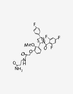 COc1c(OCC(=O)NCCC(N)=O)cccc1C1SC(c2ccc(F)cc2)=NN1C(=O)c1c(F)cc(F)cc1F